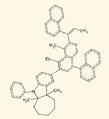 C/C=C(\c1ccc2c(-c3cccc4ccccc34)cc(-c3ccc4c(c3)C3(C)CCCCCC3(C)N4c3ccccc3)c(CC)c2c1C)c1cccc2ccccc12